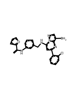 Bc1cnn2c(NCc3cccc(NC(=C)c4ccco4)c3)cc(-c3ccccc3Cl)nc12